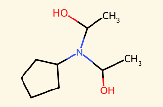 CC(O)N(C(C)O)C1CCCC1